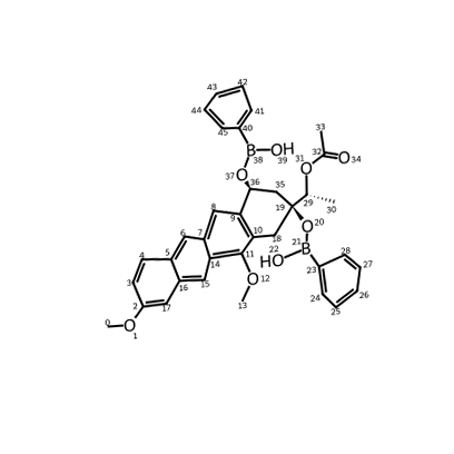 COc1ccc2cc3cc4c(c(OC)c3cc2c1)C[C@@](OB(O)c1ccccc1)([C@@H](C)OC(C)=O)C[C@@H]4OB(O)c1ccccc1